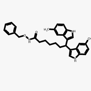 Cc1ccc2[nH]cc(C(CCCCCC(=O)NOCc3ccccc3)c3c[nH]c4ccc(C)cc34)c2c1